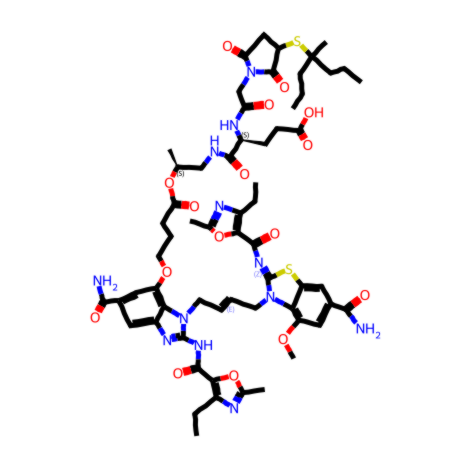 CCCC(C)(CCC)SC1CC(=O)N(CC(=O)N[C@@H](CCC(=O)O)C(=O)NC[C@H](C)OC(=O)CCCOc2cc(C(N)=O)cc3nc(NC(=O)c4oc(C)nc4CC)n(C/C=C/Cn4/c(=N/C(=O)c5oc(C)nc5CC)sc5cc(C(N)=O)cc(OC)c54)c23)C1=O